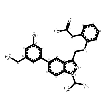 CC(C)n1nc(COc2ccccc2CC(=O)O)c2cc(-c3cc(O)cc(CN)c3)ccc21